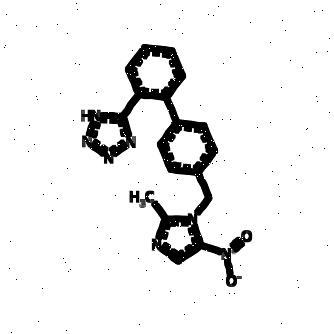 Cc1ncc([N+](=O)[O-])n1Cc1ccc(-c2ccccc2-c2nnn[nH]2)cc1